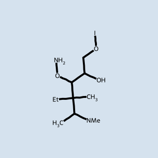 CCC(C)(C(C)NC)C(ON)C(O)COI